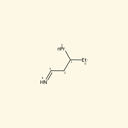 C[CH]C(CC=N)CCC